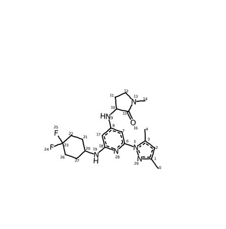 Cc1cc(C)n(-c2cc(NC3CCN(C)C3=O)cc(NC3CCC(F)(F)CC3)n2)n1